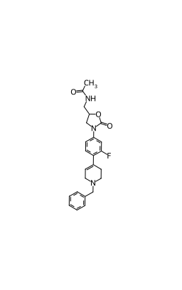 CC(=O)NCC1CN(c2ccc(C3=CCN(Cc4ccccc4)CC3)c(F)c2)C(=O)O1